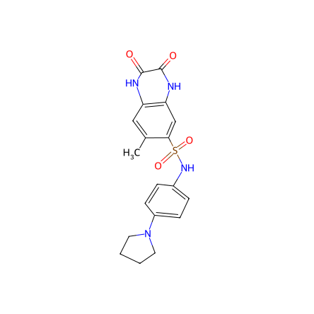 Cc1cc2[nH]c(=O)c(=O)[nH]c2cc1S(=O)(=O)Nc1ccc(N2CCCC2)cc1